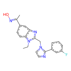 CCn1c(Cn2ccnc2-c2cccc(F)c2)nc2cc(/C(C)=N/O)ccc21